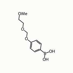 COCCOCOc1ccc(B(O)O)cc1